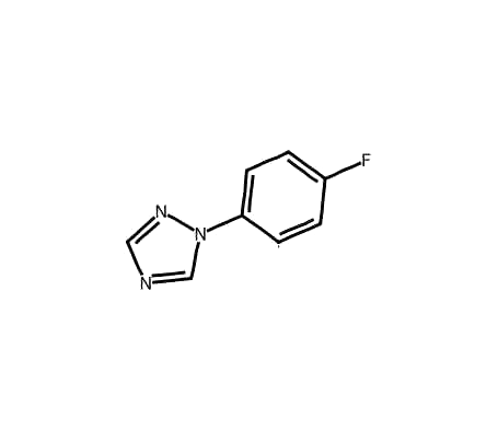 Fc1c[c]c(-n2cncn2)cc1